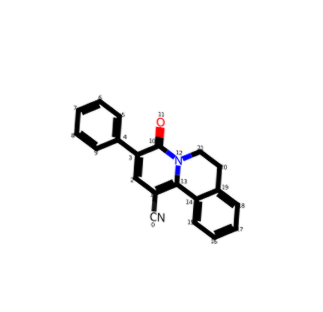 N#Cc1cc(-c2ccccc2)c(=O)n2c1-c1ccccc1CC2